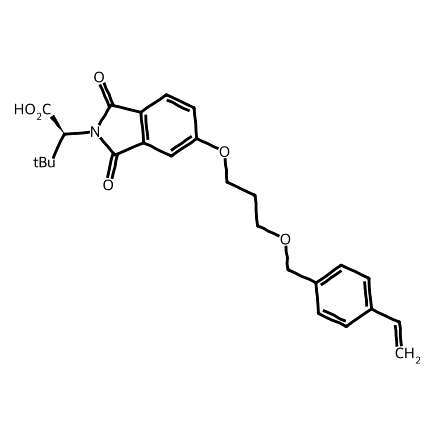 C=Cc1ccc(COCCCOc2ccc3c(c2)C(=O)N([C@H](C(=O)O)C(C)(C)C)C3=O)cc1